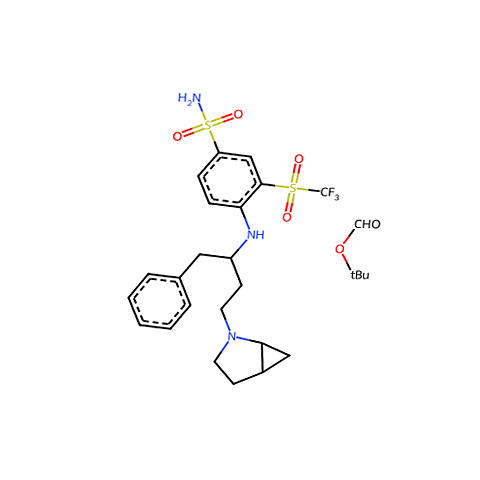 CC(C)(C)OC=O.NS(=O)(=O)c1ccc(NC(CCN2CCC3CC32)Cc2ccccc2)c(S(=O)(=O)C(F)(F)F)c1